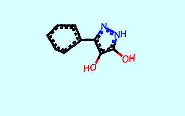 Oc1[nH]nc(-c2ccccc2)c1O